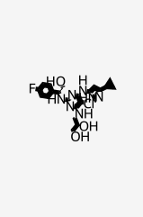 OC[C@@H](O)CNc1nc(N[C@@H](CO)c2ccc(F)cc2)nc(Nc2cc(C3CC3)n[nH]2)c1Cl